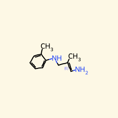 C/C(=C\N)CNc1ccccc1C